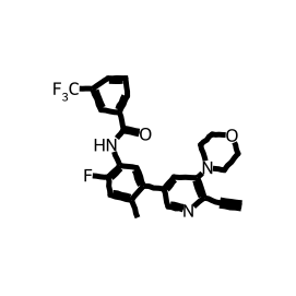 C#Cc1ncc(-c2cc(NC(=O)c3cccc(C(F)(F)F)c3)c(F)cc2C)cc1N1CCOCC1